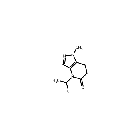 CC(C)N1C(=O)CCc2c1cnn2C